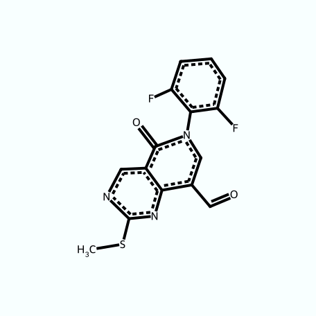 CSc1ncc2c(=O)n(-c3c(F)cccc3F)cc(C=O)c2n1